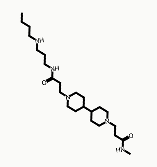 CCCCNCCCNC(=O)CCN1CCC(C2CCN(CCC(=O)NC)CC2)CC1